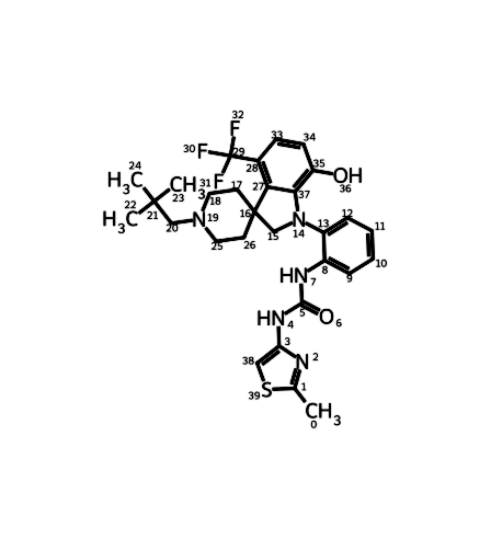 Cc1nc(NC(=O)Nc2ccccc2N2CC3(CCN(CC(C)(C)C)CC3)c3c(C(F)(F)F)ccc(O)c32)cs1